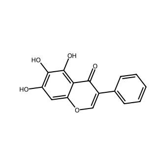 O=c1c(-c2ccccc2)coc2cc(O)c(O)c(O)c12